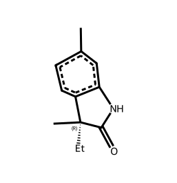 CC[C@@]1(C)C(=O)Nc2cc(C)ccc21